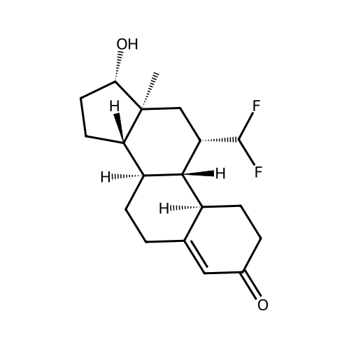 C[C@]12C[C@H](C(F)F)[C@H]3[C@@H](CCC4=CC(=O)CC[C@@H]43)[C@@H]1CC[C@@H]2O